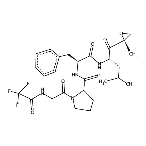 CC(C)C[C@H](NC(=O)[C@H](Cc1ccccc1)NC(=O)[C@@H]1CCCN1C(=O)CNC(=O)C(F)(F)F)C(=O)[C@@]1(C)CO1